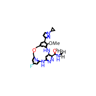 [2H]C([2H])([2H])NC(=O)c1nnc2cc1Nc1cc(cc(-c3ccn(C4CC4)n3)c1OC)COCc1cc(F)cc(n1)N2